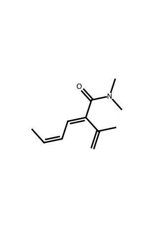 C=C(C)/C(=C\C=C/C)C(=O)N(C)C